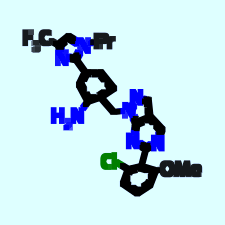 COc1cccc(Cl)c1-c1ncc2cnn(Cc3ccc(-c4nc(C(F)(F)F)cn4C(C)C)cc3N)c2n1